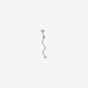 [Li][CH2]CCOCC